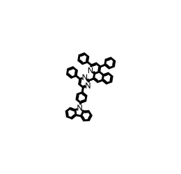 c1ccc(-c2cc(-c3ccc(-n4c5ccccc5c5ccccc54)cc3)nc(-c3cc4ccccc4c4c(-c5ccccc5)cc(-c5ccccc5)nc34)n2)cc1